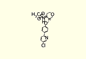 CS(=O)(=O)N[C@H]1CCOC[C@@H]1COc1ccc(-c2ccc(Cl)cn2)cc1